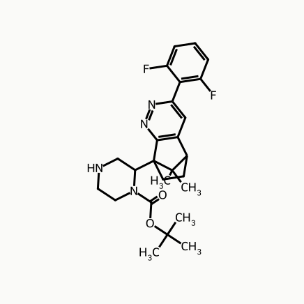 CC(C)(C)OC(=O)N1CCNCC1C12CCC(c3cc(-c4c(F)cccc4F)nnc31)C2(C)C